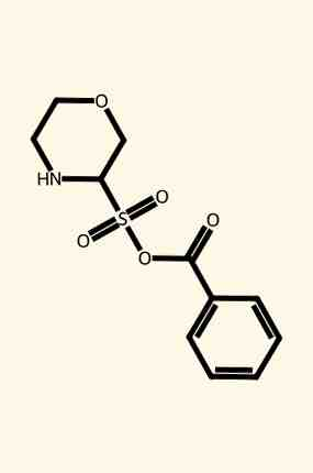 O=C(OS(=O)(=O)C1COCCN1)c1ccccc1